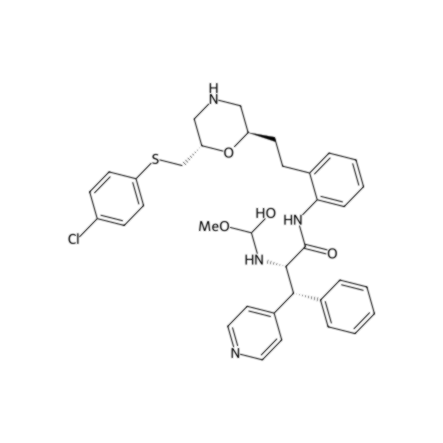 COC(O)N[C@H](C(=O)Nc1ccccc1CC[C@@H]1CNC[C@@H](CSc2ccc(Cl)cc2)O1)[C@H](c1ccccc1)c1ccncc1